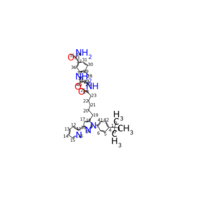 CC(C)(C)c1ccc(-n2nc(-c3ccccn3)cc2CCCCCC(=O)N[C@@H](Cc2ccc(C(N)=O)cc2)C(N)=O)cc1